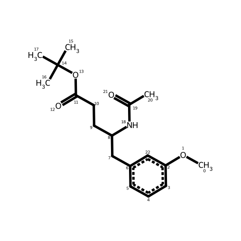 COc1cccc(CC(CCC(=O)OC(C)(C)C)NC(C)=O)c1